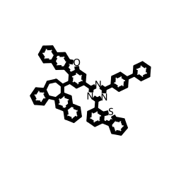 c1ccc(-c2ccc(-c3nc(-c4cc(C5CCc6ccccc6-c6cc7ccccc7cc65)c5c(c4)oc4cc6ccccc6cc45)nc(-c4cccc5c4sc4ccccc45)n3)cc2)cc1